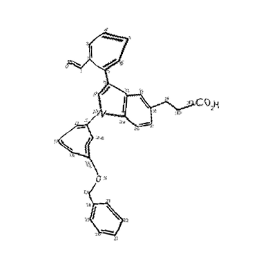 C=Cc1ccccc1-c1cn(-c2cccc(OCc3ccccc3)c2)c2ccc(CCC(=O)O)cc12